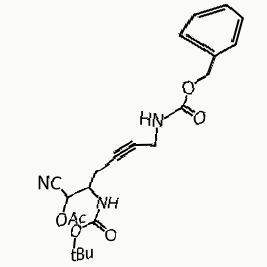 CC(=O)OC(C#N)C(CC#CCNC(=O)OCc1ccccc1)NC(=O)OC(C)(C)C